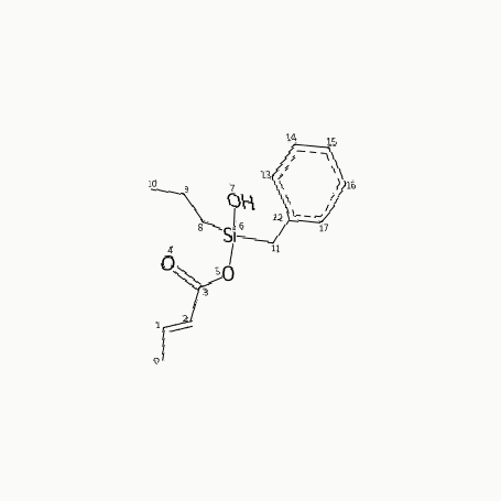 CC=CC(=O)O[Si](O)(CCC)Cc1ccccc1